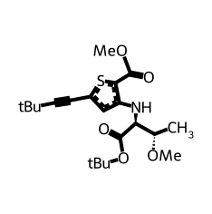 COC(=O)c1sc(C#CC(C)(C)C)cc1N[C@H](C(=O)OC(C)(C)C)[C@H](C)OC